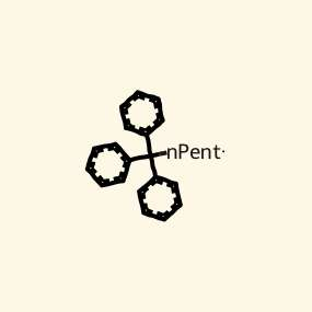 CCCC[CH]C(c1ccccc1)(c1ccccc1)c1ccccc1